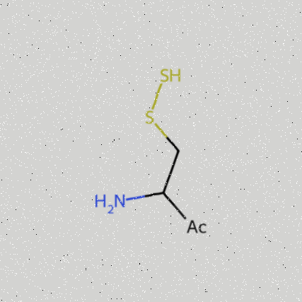 CC(=O)C(N)CSS